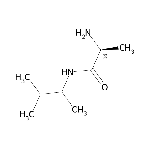 CC(C)C(C)NC(=O)[C@H](C)N